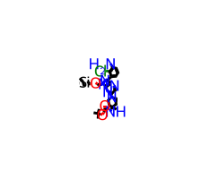 CC1(NC(=O)OC(C)(C)C)CCN(c2cnc3c(-c4cccc(N)c4Cl)nn(COCC[Si](C)(C)C)c3n2)CC1